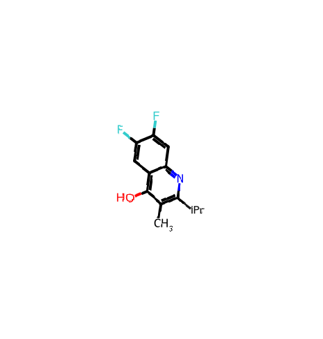 Cc1c(C(C)C)nc2cc(F)c(F)cc2c1O